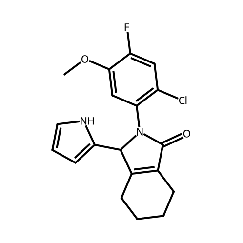 COc1cc(N2C(=O)C3=C(CCCC3)C2c2ccc[nH]2)c(Cl)cc1F